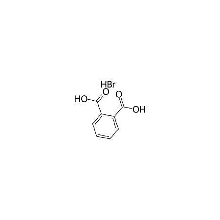 Br.O=C(O)c1ccccc1C(=O)O